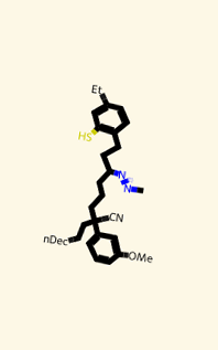 CCCCCCCCCCCCC(C#N)(CCCC(CCc1ccc(CC)cc1S)/N=N/C)c1cccc(OC)c1